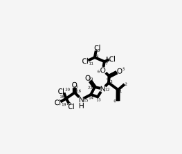 C=C(C)C(C(=O)OC(Cl)C(Cl)Cl)N1CC(NC(=O)C(Cl)(Cl)Cl)C1=O